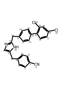 N#Cc1ccc(Cc2cnc(Cc3ccc(-c4ccc(Cl)cc4Cl)cc3)[nH]2)cc1